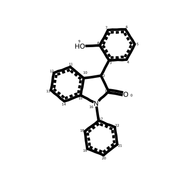 O=C1C(c2ccccc2O)c2ccccc2N1c1ccccc1